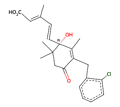 CC(C=C[C@@]1(O)C(C)=C(Cc2ccccc2Cl)C(=O)CC1(C)C)=CC(=O)O